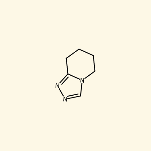 c1nnc2n1CCCC2